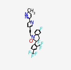 Cc1ccc(-c2ccc(C#CCN3C(=O)C(c4ccc(C(F)(F)F)cc4C(F)(F)F)CCc4cc(F)ccc43)cn2)nn1